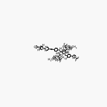 COC(=O)N[C@H](C(=O)N[C@@H](Cc1ccc(C#Cc2cnc(N3C[C@H]4C[C@@H]3CN4C3COC3)nc2)cc1)[C@@H](O)CN(Cc1c(F)cc(-c2ccn(C(F)F)n2)cc1F)NC(=O)[C@@H](NC(=O)OC)C(C)(C)C(F)(F)F)C(C)(C)C(F)(F)F